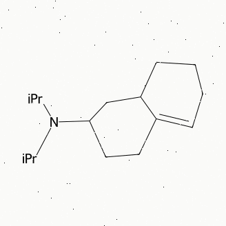 CC(C)N(C(C)C)C1CCC2=CCCCC2C1